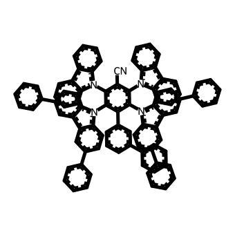 N#Cc1c(-n2c3ccccc3c3ccccc32)c(-n2c3ccc(-c4ccccc4)cc3c3cc(-c4ccccc4)ccc32)c(-c2cccc(-c3ccccc3)c2)c(-n2c3ccc(-c4ccccc4)cc3c3cc(-c4ccccc4)ccc32)c1-n1c2ccccc2c2ccccc21